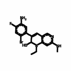 CCN1c2cc(NC)ncc2C=C(c2cc(N)c(F)cc2Br)C1O